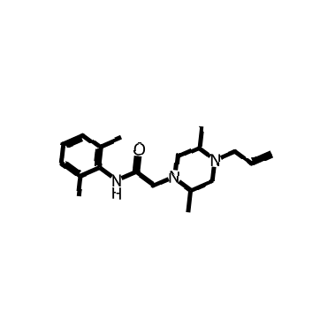 C=CCN1CC(C)N(CC(=O)Nc2c(C)cccc2C)CC1C